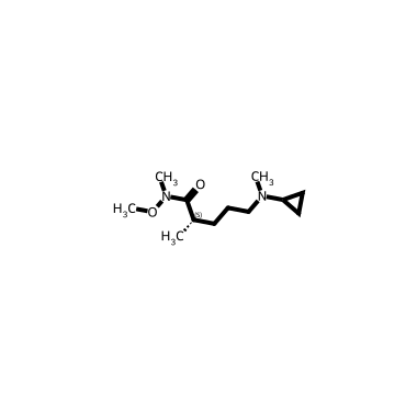 CON(C)C(=O)[C@@H](C)CCCN(C)C1CC1